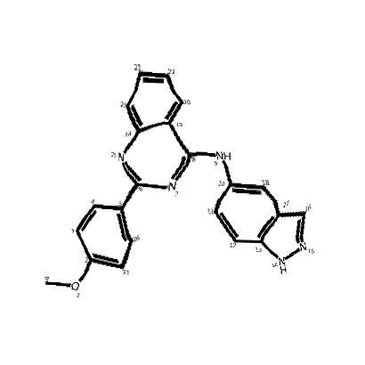 COc1ccc(-c2nc(Nc3ccc4[nH]ncc4c3)c3ccccc3n2)cc1